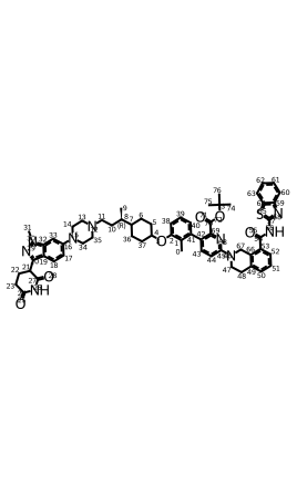 Cc1c(OC2CCC([C@H](C)CCN3CCN(c4ccc5c(C6CCC(=O)NC6=O)nn(C)c5c4)CC3)CC2)cccc1-c1ccc(N2CCc3cccc(C(=O)Nc4nc5ccccc5s4)c3C2)nc1C(=O)OC(C)(C)C